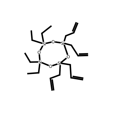 C=CC[Si]1(CC=C)O[Si](CC)(CC)O[Si](CC)(CC)O[Si](CC=C)(CC=C)O1